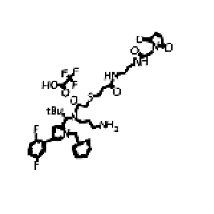 CC(C)(C)[C@H](c1cc(-c2cc(F)ccc2F)cn1Cc1ccccc1)N(CCCN)C(=O)CSCCC(=O)NCCNC(=O)CN1C(=O)C=CC1=O.O=C(O)C(F)(F)F